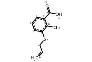 C=CCSc1cccc(C(=O)O)c1Cl